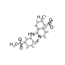 Cc1ccc2c(Nc3cc(S(C)(=O)=O)ccc3F)nccc2c1[N+](=O)[O-]